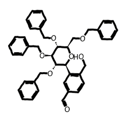 O=Cc1ccc(CO)c([C@@H]2O[C@H](COCc3ccccc3)[C@@H](OCc3ccccc3)[C@H](OCc3ccccc3)[C@H]2OCc2ccccc2)c1